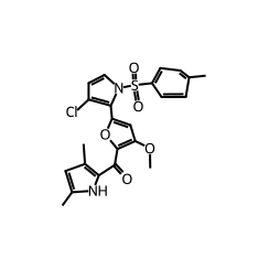 COc1cc(-c2c(Cl)ccn2S(=O)(=O)c2ccc(C)cc2)oc1C(=O)c1[nH]c(C)cc1C